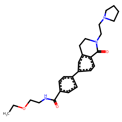 CCOCCNC(=O)c1ccc(-c2ccc3c(c2)CCN(CCN2CCCC2)C3=O)cc1